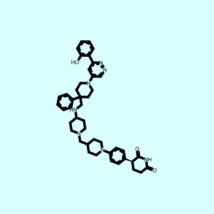 O=C1CC[C@@H](c2ccc(N3CCC(CN4CCC(NCC5(c6ccccc6)CCN(c6cnnc(-c7ccccc7O)c6)CC5)CC4)CC3)cc2)C(=O)N1